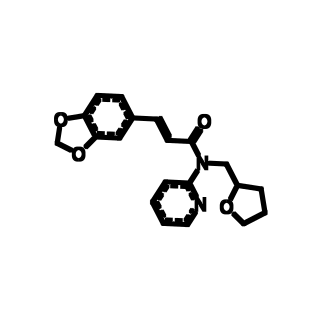 O=C(C=Cc1ccc2c(c1)OCO2)N(CC1CCCO1)c1ccccn1